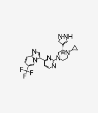 FC(F)(F)c1ccc2ncc(-c3ccnc(N4CCN(C5CC5)[C@H](c5cn[nH]c5)C4)n3)n2c1